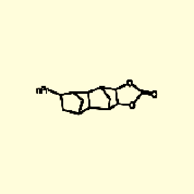 CCCC1CC2CC1C1C3CC(C4OC(=O)OC34)C21